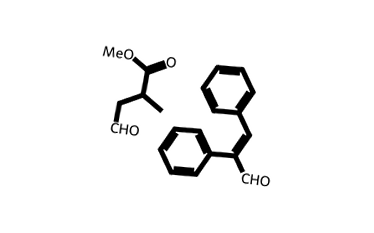 COC(=O)C(C)CC=O.O=CC(=Cc1ccccc1)c1ccccc1